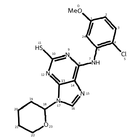 COc1ccc(Cl)c(Nc2nc(S)nc3c2ncn3C2CCCCO2)c1